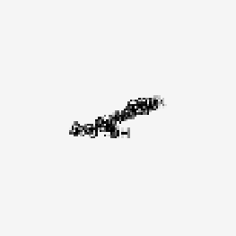 C=CC(=O)OCCOC(=O)CCC(=O)Oc1ccc(/C=N/N=C/c2ccc(C(=O)OC3COC4C3OC[C@H]4OOCC)cc2)cc1C(=O)CO